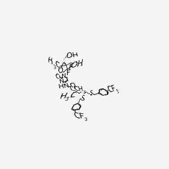 CC(C)(CC[C@H](CCSCc1ccc(C(F)(F)F)cc1)SCc1ccc(C(F)(F)F)cc1)CC(=O)Nc1ccn([C@@H]2OC3(C)[C@H](CO)C3(CO)C2(F)F)c(=O)n1